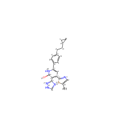 CCc1cnc(-c2cc(-c3ccc(CCC4CC4)cc3)[nH]c(=O)c2-c2nc[nH]n2)s1